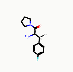 CC[C@@H](c1ccc(F)cc1)C(N)C(=O)N1CCCC1